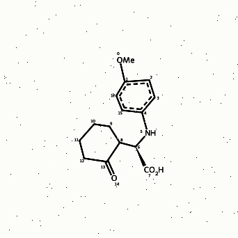 COc1ccc(N[C@@H](C(=O)O)C2CCCCC2=O)cc1